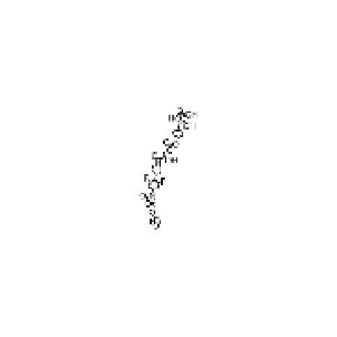 CC(O)(Cc1ccc(OC(=O)OC[C@H](O)C(=O)N2CC=C(c3c(F)cc(N4C[C@H](COc5ccon5)OC4=O)cc3F)CC2)cc1)P(=O)(O)O